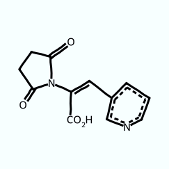 O=C(O)C(=Cc1cccnc1)N1C(=O)CCC1=O